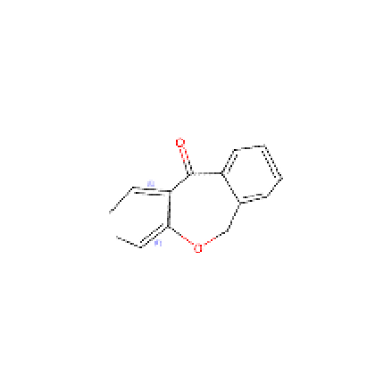 C/C=C1/OCc2ccccc2C(=O)/C1=C/C